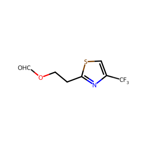 O=COCCc1nc(C(F)(F)F)cs1